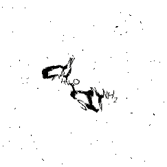 Nc1ncc2scc(C(=O)Nc3cnc4cccnn34)c2n1